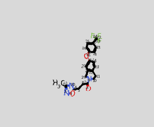 Cc1noc(CCC(=O)N2CCc3ccc(Oc4ccc(C(F)(F)F)cc4)cc3C2)n1